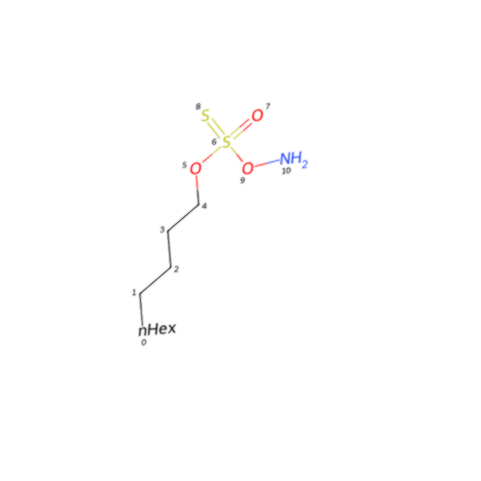 CCCCCCCCCCOS(=O)(=S)ON